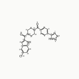 O=C(c1ccc(-c2nnn[nH]2)cc1)N1CCN(C(=O)c2cc3cc(Cl)ccc3[nH]2)CC1